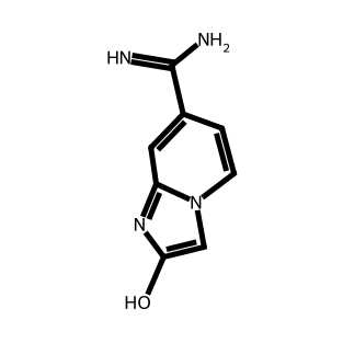 N=C(N)c1ccn2cc(O)nc2c1